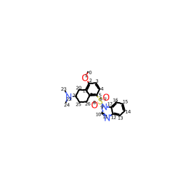 COc1ccc(S(=O)(=O)n2cnc3ccccc32)c2c1C[C@@H](N(C)C)CC2